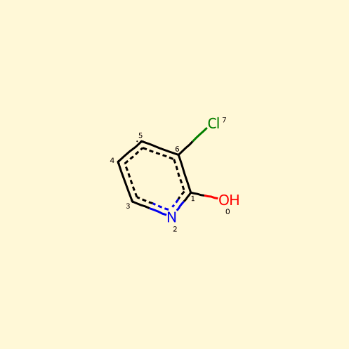 Oc1ncc[c]c1Cl